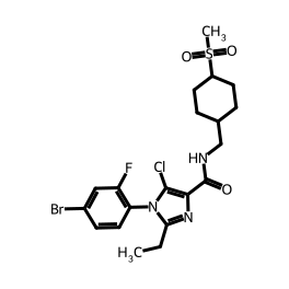 CCc1nc(C(=O)NCC2CCC(S(C)(=O)=O)CC2)c(Cl)n1-c1ccc(Br)cc1F